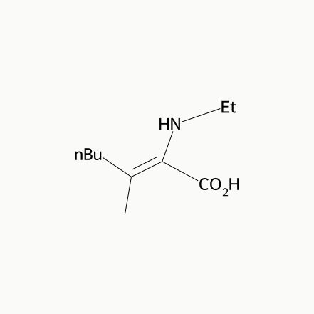 CCCCC(C)=C(NCC)C(=O)O